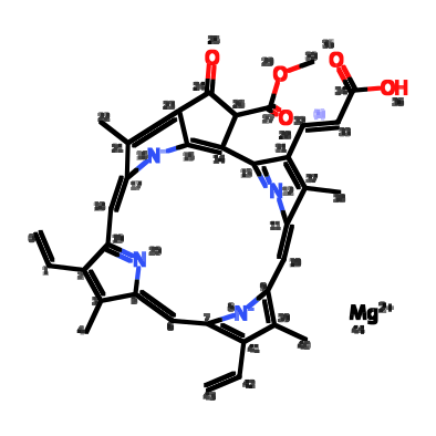 C=CC1=C(C)c2cc3[n-]c(cc4nc(c5c6[n-]c(cc1n2)c(C)c6C(=O)C5C(=O)OC)C(/C=C/C(=O)O)=C4C)c(C)c3C=C.[Mg+2]